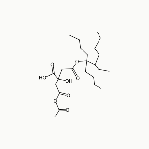 CCCCC(CC)C(CCCC)(CCCC)OC(=O)CC(O)(CC(=O)OC(C)=O)C(=O)O